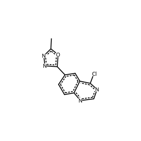 Cc1nnc(-c2ccc3ncnc(Cl)c3c2)o1